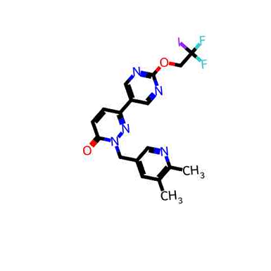 Cc1cc(Cn2nc(-c3cnc(OCC(F)(F)I)nc3)ccc2=O)cnc1C